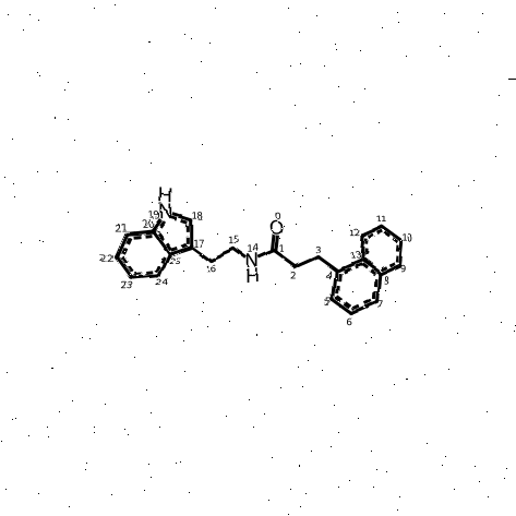 O=C(CCc1cccc2ccccc12)NCCc1c[nH]c2ccccc12